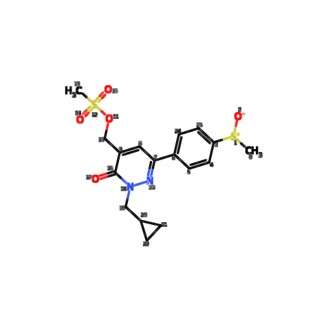 C[S+]([O-])c1ccc(-c2cc(COS(C)(=O)=O)c(=O)n(CC3CC3)n2)cc1